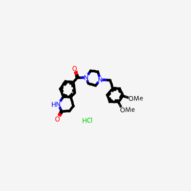 COc1ccc(CN2CCN(C(=O)c3ccc4c(c3)CCC(=O)N4)CC2)cc1OC.Cl